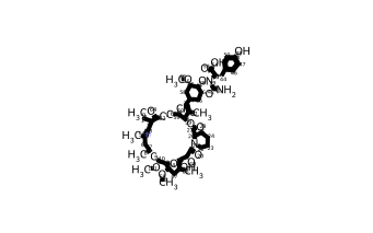 CCC1/C=C(\C)CC(C)CC(OC)C2OC(O)(C(=O)C(=O)N3CCCCC3C(=O)OC(C(C)=CC3CCC(ON(C(N)=O)[C@@H](Cc4ccc(O)cc4)C(=O)O)C(OC)C3)C(C)CCC1=O)C(C)CC2OC